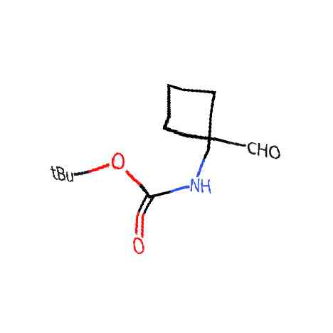 CC(C)(C)OC(=O)NC1(C=O)CCC1